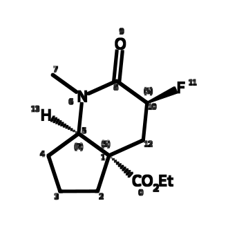 CCOC(=O)[C@]12CCC[C@H]1N(C)C(=O)[C@@H](F)C2